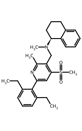 CCc1cccc(CC)c1-c1cc(S(C)(=O)=O)c(CN(C)[C@H]2CCCc3ccccc32)c(C)n1